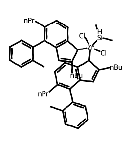 CCCCC1=Cc2c(ccc(CCC)c2-c2ccccc2C)[CH]1[Zr]([Cl])([Cl])([CH]1C(CCCC)=Cc2c1ccc(CCC)c2-c1ccccc1C)[SiH](C)C